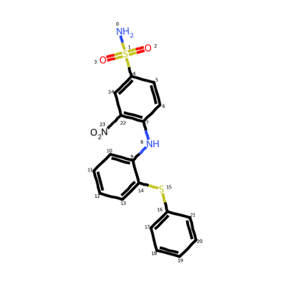 NS(=O)(=O)c1ccc(Nc2ccccc2Sc2ccccc2)c([N+](=O)[O-])c1